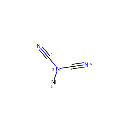 N#C[N]([Ni])C#N